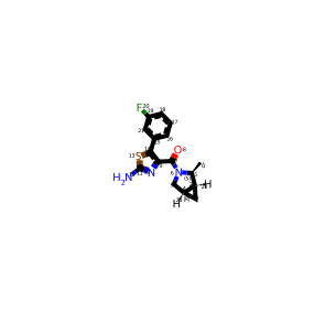 [CH2][C@H]1[C@H]2C[C@H]2CN1C(=O)c1nc(N)sc1-c1cccc(F)c1